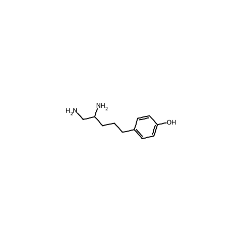 NCC(N)CCCc1ccc(O)cc1